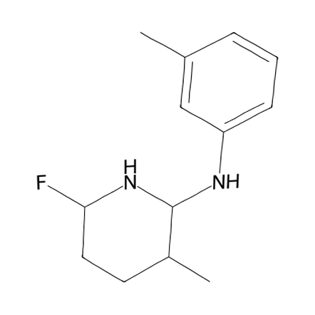 Cc1cccc(NC2NC(F)CCC2C)c1